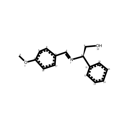 COc1ccc(C=N[C@@H](CO)c2ccccc2)cc1